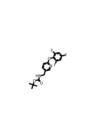 CC(C)(C)OC(=O)NCc1ccc(Oc2c(F)cc(F)cc2F)nc1